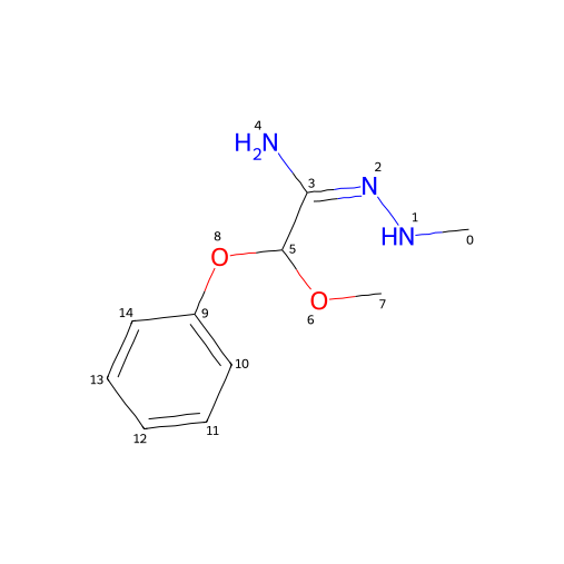 CN/N=C(/N)C(OC)Oc1ccccc1